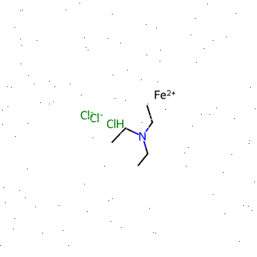 CCN(CC)CC.Cl.[Cl-].[Cl-].[Fe+2]